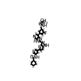 CS(=O)(=O)NCc1cc(F)cc(-c2cncc3[nH]c(-c4n[nH]c5ccc(-c6cncc(NC(=O)C7CCCCC7)c6)nc45)nc23)c1